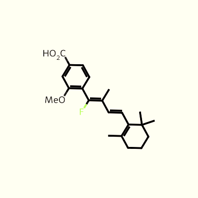 COc1cc(C(=O)O)ccc1/C(F)=C(C)/C=C/C1=C(C)CCCC1(C)C